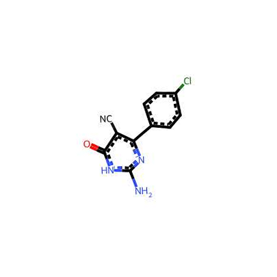 N#Cc1c(-c2ccc(Cl)cc2)nc(N)[nH]c1=O